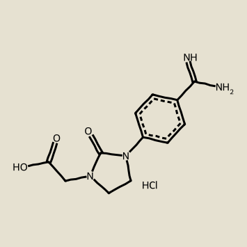 Cl.N=C(N)c1ccc(N2CCN(CC(=O)O)C2=O)cc1